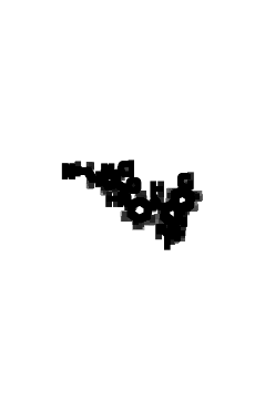 N#CCCn1cc(C(=O)N[C@@H]2CCC[C@H](Nc3cc(C(F)(F)F)nc4ccc(Cl)cc34)C2)c(Cl)n1